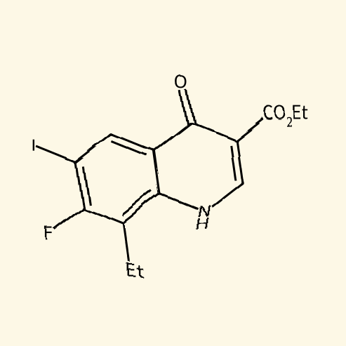 CCOC(=O)c1c[nH]c2c(CC)c(F)c(I)cc2c1=O